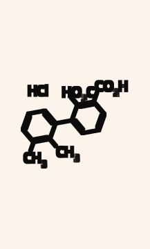 Cc1cccc(-c2cccc(C(=O)O)c2C(=O)O)c1C.Cl